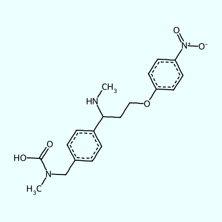 CNC(CCOc1ccc([N+](=O)[O-])cc1)c1ccc(CN(C)C(=O)O)cc1